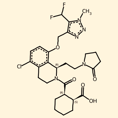 Cn1nnc(COc2ccc(Cl)c3c2[C@@H](CCN2CCCC2=O)N(C(=O)[C@@H]2CCCC[C@@H]2C(=O)O)CC3)c1C(F)F